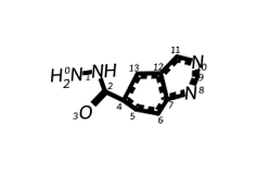 NNC(=O)c1ccc2ncncc2c1